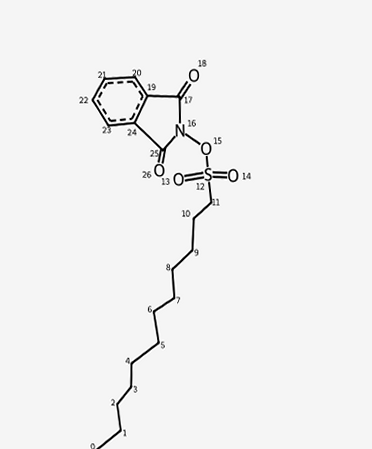 CCCCCCCCCCCCS(=O)(=O)ON1C(=O)c2ccccc2C1=O